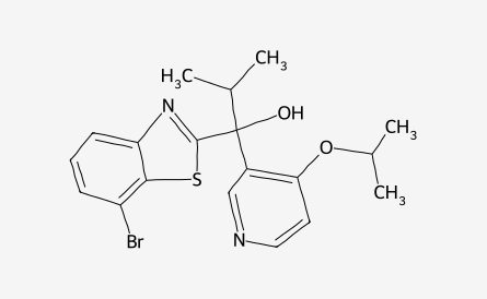 CC(C)Oc1ccncc1C(O)(c1nc2cccc(Br)c2s1)C(C)C